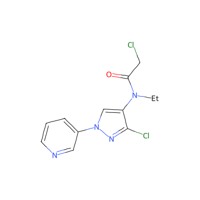 CCN(C(=O)CCl)c1cn(-c2cccnc2)nc1Cl